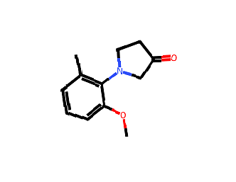 COc1cccc(C)c1N1CCC(=O)C1